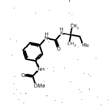 COC(=O)Nc1cccc(NC(=O)NC(C)(C)CC(C)(C)C)c1